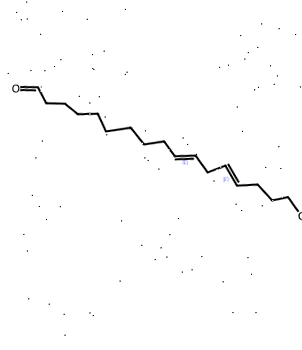 CCCC/C=C/C/C=C/CCCCCCCC[C]=O